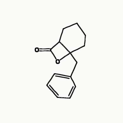 O=C1OC2(Cc3ccccc3)CCCCC12